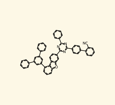 N#Cc1ccccc1-c1ccc(-c2nc(-c3ccccc3)nc(-c3ccc4c(c3)oc3cccc(-c5cc(-c6ccccc6)cc(-c6ccccc6)c5)c34)n2)cc1